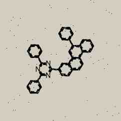 c1ccc(-c2nc(-c3ccccc3)nc(-c3ccc4ccc5c6ccccc6c(-c6ccccc6)cc5c4c3)n2)cc1